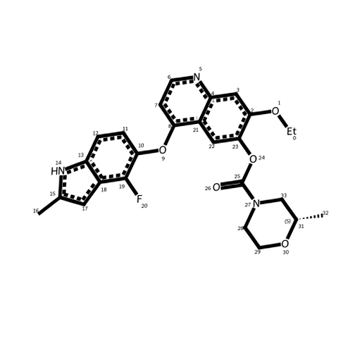 CCOc1cc2nccc(Oc3ccc4[nH]c(C)cc4c3F)c2cc1OC(=O)N1CCO[C@@H](C)C1